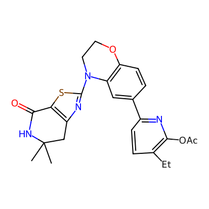 CCc1ccc(-c2ccc3c(c2)N(c2nc4c(s2)C(=O)NC(C)(C)C4)CCO3)nc1OC(C)=O